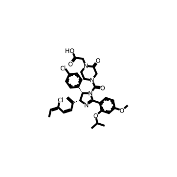 C=C(/C=C\C(Cl)=C/C)[C@H]1N=C(c2ccc(OC)cc2OC(C)C)N(C(=O)N2CCN(CC(=O)O)C(=O)C2)[C@H]1c1ccc(Cl)cc1